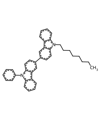 CCCCCCCCn1c2ccccc2c2cc(-c3ccc4c(c3)c3ccccc3n4-c3ccccc3)ccc21